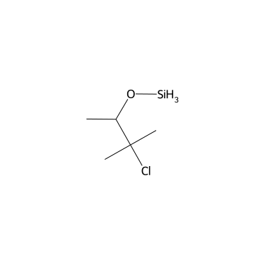 CC(O[SiH3])C(C)(C)Cl